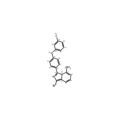 Nc1nccc2c(Br)nc(-c3ccc(Oc4cccc(F)c4)cc3)n12